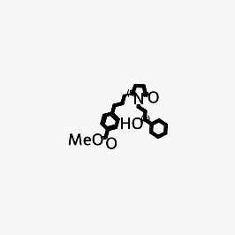 COC(=O)c1ccc(CCC[C@H]2CCC(=O)N2CC[C@@H](O)C2CCCCC2)cc1